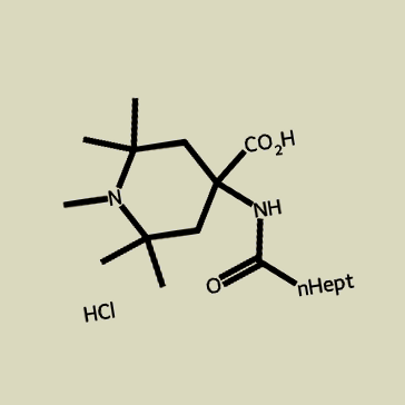 CCCCCCCC(=O)NC1(C(=O)O)CC(C)(C)N(C)C(C)(C)C1.Cl